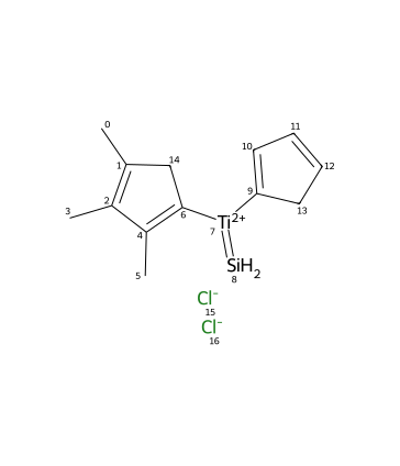 CC1=C(C)C(C)=[C]([Ti+2](=[SiH2])[C]2=CC=CC2)C1.[Cl-].[Cl-]